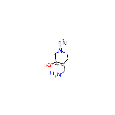 CCCCN1CC[C@H](CN)[C@@H](O)C1